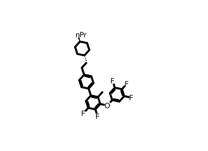 CCC[C@H]1CC[C@H](CCc2ccc(-c3cc(F)c(F)c(Oc4cc(F)c(F)c(F)c4)c3C)cc2)CC1